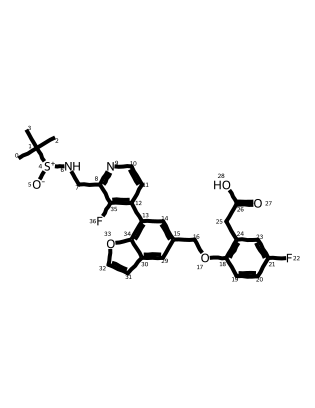 CC(C)(C)[S+]([O-])NCc1nccc(-c2cc(COc3ccc(F)cc3CC(=O)O)cc3ccoc23)c1F